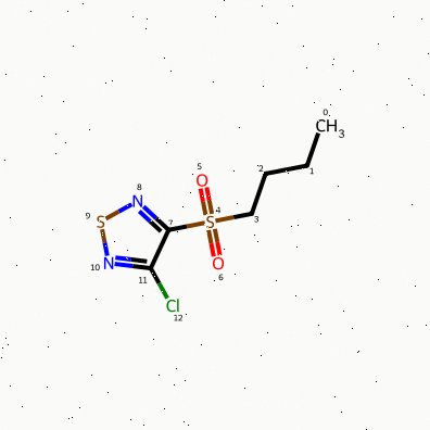 CCCCS(=O)(=O)c1nsnc1Cl